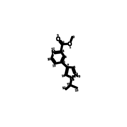 COC(=O)c1cc(-c2cnn(C(C)C)c2)ccn1